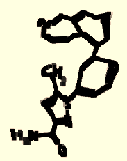 Cc1cc(C(N)=O)nn1-c1cccc(-c2cccc3cnccc23)c1